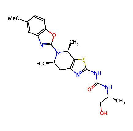 COc1ccc2oc(N3[C@H](C)Cc4nc(NC(=O)N[C@H](C)CO)sc4[C@@H]3C)nc2c1